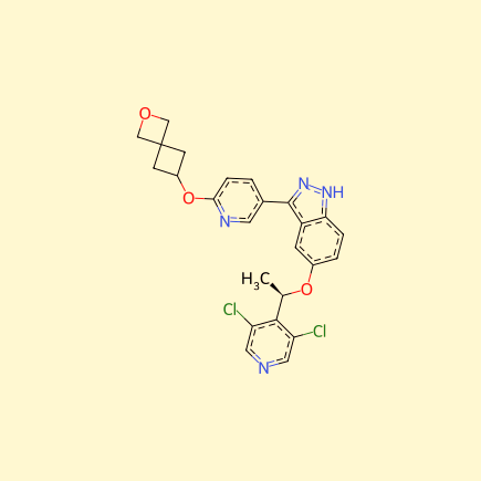 C[C@@H](Oc1ccc2[nH]nc(-c3ccc(OC4CC5(COC5)C4)nc3)c2c1)c1c(Cl)cncc1Cl